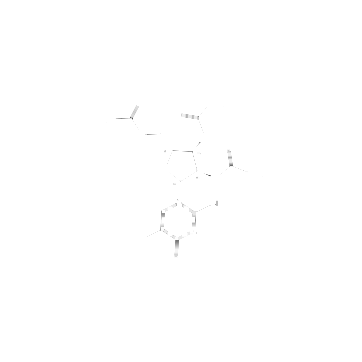 CC(=O)OC[C@H]1O[C@@H](n2cc(C)c(=O)nc2N)[C@H](OC(C)=O)[C@@H]1OC(C)=O